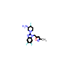 Cc1cc(Cn2c(N3CCC(F)[C@H](N)C3)nc3cc(F)c(F)cc32)on1